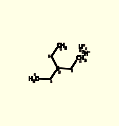 CCB(CC)CC.[2H-].[Li+]